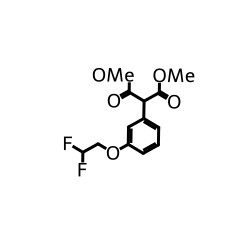 COC(=O)C(C(=O)OC)c1cccc(OCC(F)F)c1